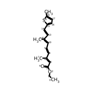 CCOC(=O)/C=C(C)/C=C/C=C(C)/C=C/c1ccc(C)s1